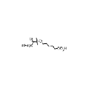 CCCCCCCC(=O)C(C)(C)OCCCCCC(=O)O